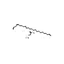 CCCCC/C=C\C/C=C\CCCCCCCCC(CCCCCCCC/C=C\CCCCCCCC)N(C)C(=O)CCN(C)C